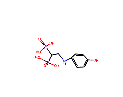 O=P(O)(O)C(CNc1ccc(O)cc1)P(=O)(O)O